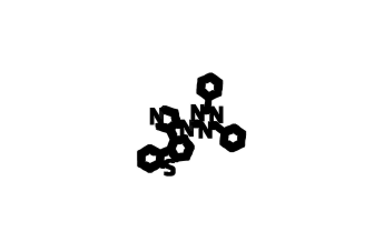 c1ccc(-c2nc(-c3ccccc3)nc(-n3c4ccncc4c4c5c(ccc43)sc3ccccc35)n2)cc1